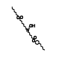 CCCCCCCOC(=O)CCCCCCCN(CCO)CCCCCC(=O)OC1CCC(CCCCC)CC1